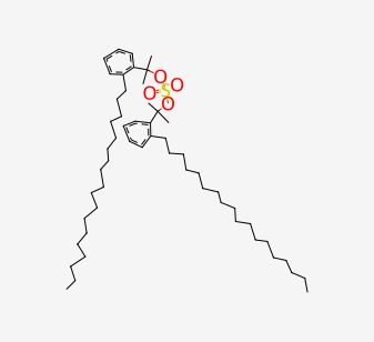 CCCCCCCCCCCCCCCCCCc1ccccc1C(C)(C)OS(=O)(=O)OC(C)(C)c1ccccc1CCCCCCCCCCCCCCCCCC